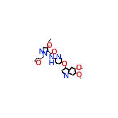 CCOc1cnn(CC2CCO2)c1C(=O)Nc1ccc(Oc2ccnc3cc(OC)c(OC)cc23)cn1